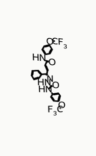 O=C(C=CC(=NNC(=O)Nc1ccc(OC(F)(F)F)cc1)c1ccccc1)Nc1ccc(OC(F)(F)F)cc1